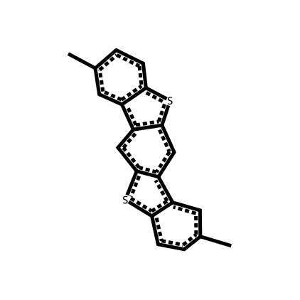 Cc1ccc2sc3cc4c(cc3c2c1)sc1ccc(C)cc14